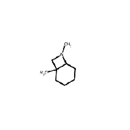 CN1CC2(C)CCCCC12